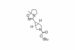 CC(C)(C)OC(=O)N1C[C@@H]2C(C3=NOC4(C)CCCN34)[C@@H]2C1